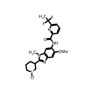 COc1cc2nc(C3CCC[S+]([O-])C3)n(C)c2cc1NC(=O)c1cccc(C(C)(F)F)n1